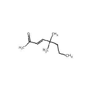 CCCC(C)(C)C=CC(C)=O